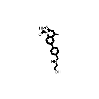 Cc1cc2n[nH]c(=O)n2c2ccc(-c3ccc(CNCCO)cc3)cc12